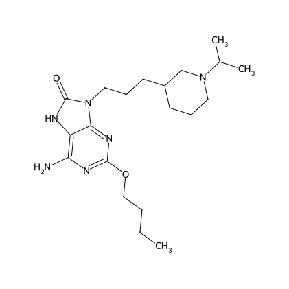 CCCCOc1nc(N)c2[nH]c(=O)n(CCCC3CCCN(C(C)C)C3)c2n1